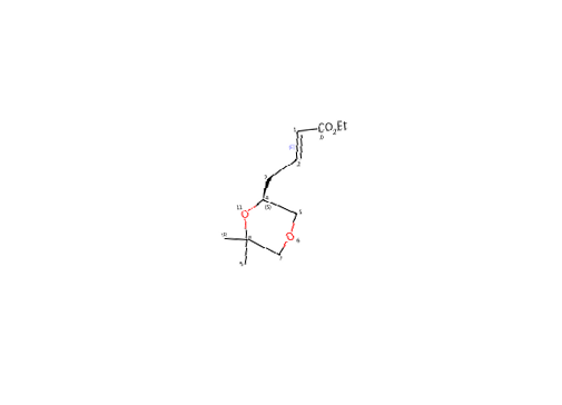 CCOC(=O)/C=C/C[C@H]1COCC(C)(C)O1